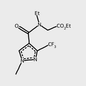 CCOC(=O)CN(CC)C(=O)c1cn(C)nc1C(F)(F)F